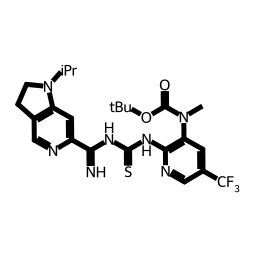 CC(C)N1CCc2cnc(C(=N)NC(=S)Nc3ncc(C(F)(F)F)cc3N(C)C(=O)OC(C)(C)C)cc21